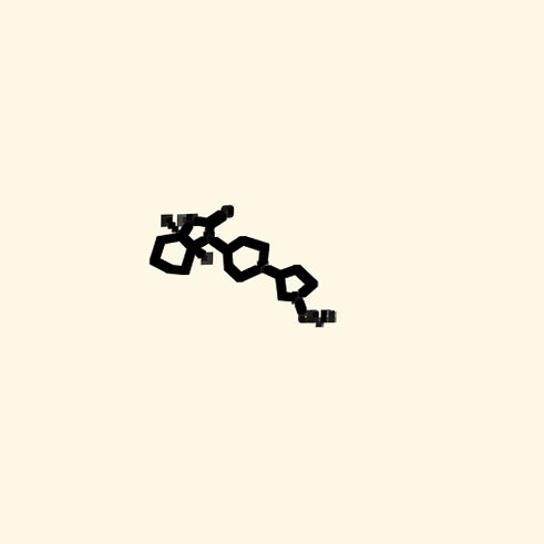 CCOC(=O)N1CCC(N2CCC(N3C(=O)N[C@@H]4CCCC[C@H]43)CC2)C1